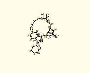 O=C1NCCCOc2ccc3c(c2)c(nn3C2CCCCO2)-c2cc(Br)cc(c2)CO1